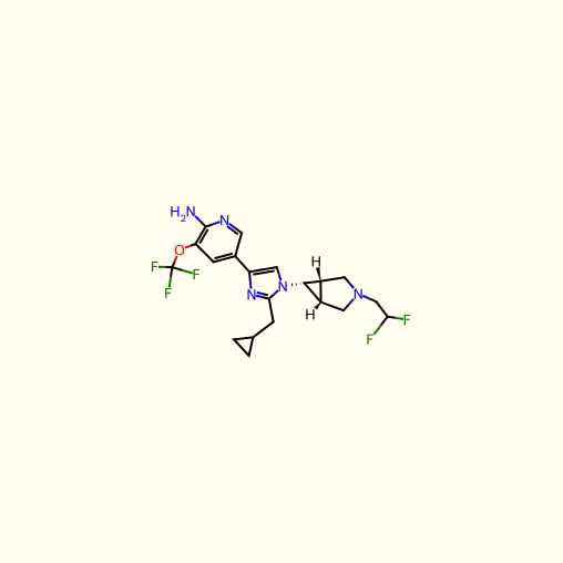 Nc1ncc(-c2cn([C@@H]3[C@@H]4CN(CC(F)F)C[C@@H]43)c(CC3CC3)n2)cc1OC(F)(F)F